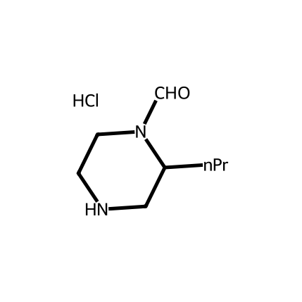 CCCC1CNCCN1C=O.Cl